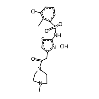 Cc1c(Cl)cccc1S(=O)(=O)Nc1nc(CC(=O)N2CCN(C)CC2)cs1.Cl